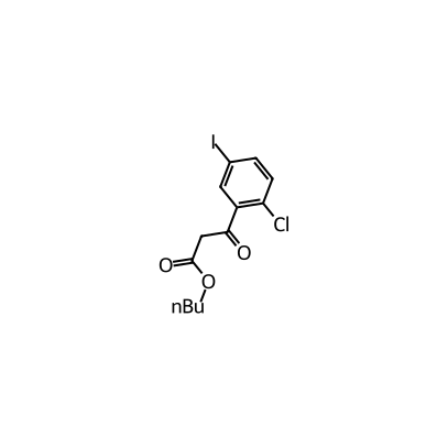 CCCCOC(=O)CC(=O)c1cc(I)ccc1Cl